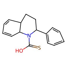 OC(=S)N1C(c2ccccc2)CCC2C=CC=CC21